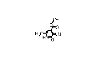 Cc1cc(C(=O)OC(C)C)c(C#N)c(=O)[nH]1